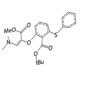 COC(=O)C(=CN(C)C)Oc1cccc(Sc2ccccc2)c1C(=O)OC(C)(C)C